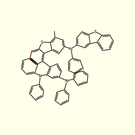 Cc1cc(N(c2ccccc2)c2ccc3sc4ccccc4c3c2)cc2c1sc1cccc(-c3ccc(N(c4ccccc4)c4ccccc4)cc3N(c3ccccc3)c3ccccc3)c12